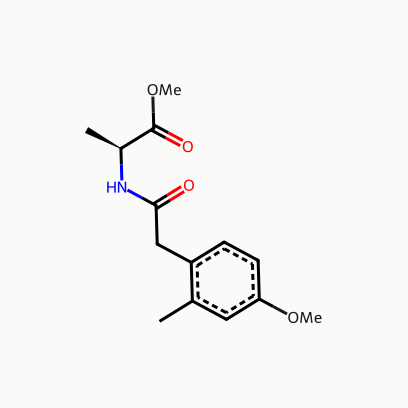 COC(=O)[C@H](C)NC(=O)Cc1ccc(OC)cc1C